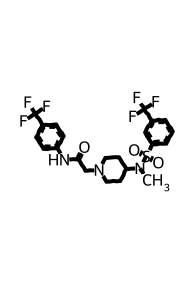 CN(C1CCN(CC(=O)Nc2ccc(C(F)(F)F)cc2)CC1)S(=O)(=O)c1cccc(C(F)(F)F)c1